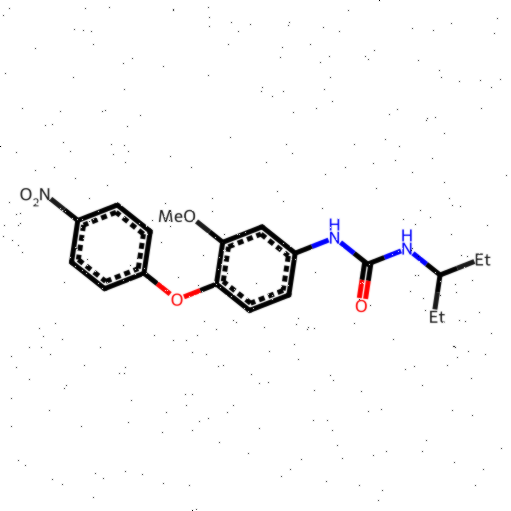 CCC(CC)NC(=O)Nc1ccc(Oc2ccc([N+](=O)[O-])cc2)c(OC)c1